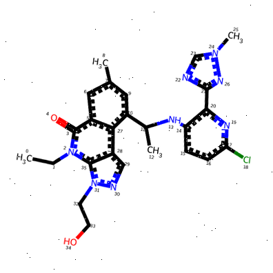 CCn1c(=O)c2cc(C)cc(C(C)Nc3ccc(Cl)nc3-c3ncn(C)n3)c2c2cnn(CCO)c21